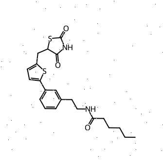 CCCCCC(=O)NCCc1cccc(-c2ccc(CC3SC(=O)NC3=O)s2)c1